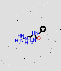 N=C(N)NCCC[C@H](NCc1ccccc1)C(N)=O